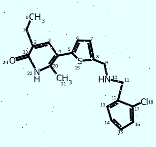 CCc1cc(-c2ccc(CNCc3ccccc3Cl)s2)c(C)[nH]c1=O